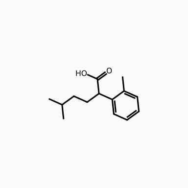 Cc1ccccc1C(CCC(C)C)C(=O)O